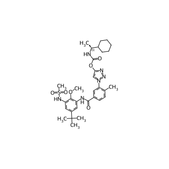 COc1c(NC(=O)c2ccc(C)c(-n3cc(OC(=O)N[C@@H](C)C4CCCCC4)nn3)c2)cc(C(C)(C)C)cc1NS(C)(=O)=O